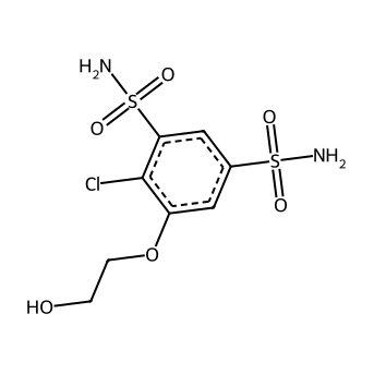 NS(=O)(=O)c1cc(OCCO)c(Cl)c(S(N)(=O)=O)c1